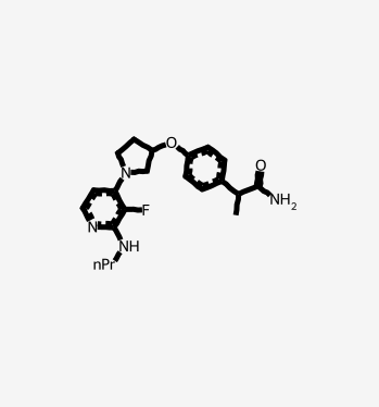 CCCNc1nccc(N2CCC(Oc3ccc(C(C)C(N)=O)cc3)C2)c1F